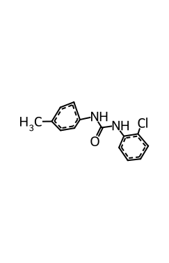 Cc1ccc(NC(=O)Nc2ccccc2Cl)cc1